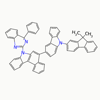 CC1(C)c2ccccc2-c2ccc(-n3c4ccccc4c4cc(-c5cc6c(c7ccccc57)c5ccccc5n6-c5nc(-c6ccccc6)c6ccccc6n5)ccc43)cc21